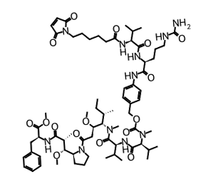 CC[C@H](C)[C@@H]([C@@H](CC(=O)N1CCC[C@H]1[C@H](OC)[C@@H](C)C(=O)N[C@@H](Cc1ccccc1)C(=O)OC)OC)N(C)C(=O)[C@@H](NC(=O)[C@H](C(C)C)N(C)C(=O)OCc1ccc(NC(=O)[C@H](CCCNC(N)=O)NC(=O)[C@@H](NC(=O)CCCCCN2C(=O)C=CC2=O)C(C)C)cc1)C(C)C